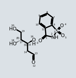 O=C1NS(=O)(=O)c2ccccc21.O=CC[C@H](O)[C@H](O)CO